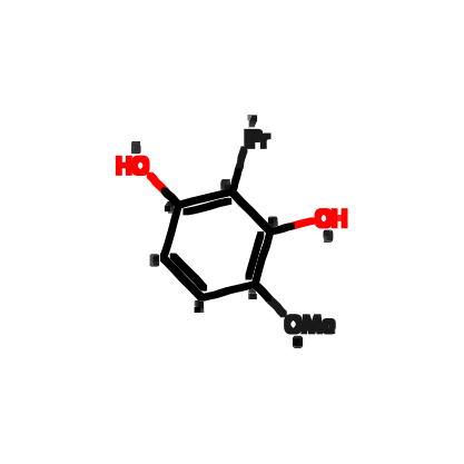 COc1ccc(O)c(C(C)C)c1O